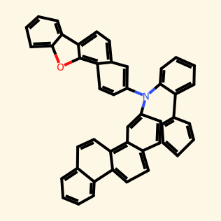 c1ccc(-c2ccccc2N(c2ccc3c(ccc4c5ccccc5oc34)c2)c2ccc3ccc4c5ccccc5ccc4c3c2)cc1